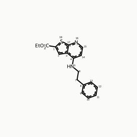 CCOC(=O)c1cc2c(NCCc3ccccc3)ccnc2s1